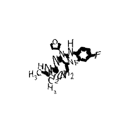 C=C(/N=C1\C(=C/N)N=C(Nc2ccc(F)cc2F)N1[C@H]1CCOC1)NC(C)C